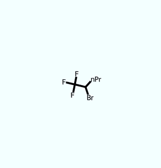 CCCC(Br)C(F)(F)F